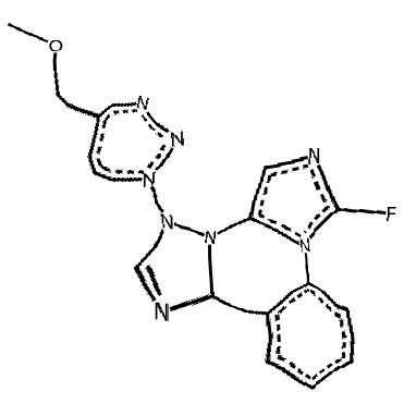 COCc1cn(N2C=NC3c4ccccc4-n4c(cnc4F)N32)nn1